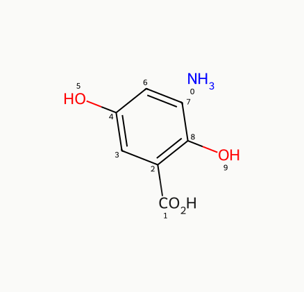 N.O=C(O)c1cc(O)ccc1O